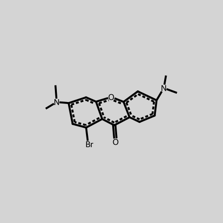 CN(C)c1ccc2c(=O)c3c(Br)cc(N(C)C)cc3oc2c1